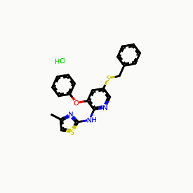 Cc1csc(Nc2ncc(SCc3ccccc3)cc2Oc2ccccc2)n1.Cl